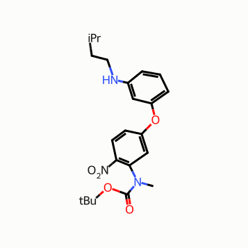 CC(C)CCNc1cccc(Oc2ccc([N+](=O)[O-])c(N(C)C(=O)OC(C)(C)C)c2)c1